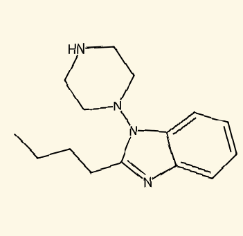 CCCCc1nc2ccccc2n1N1CCNCC1